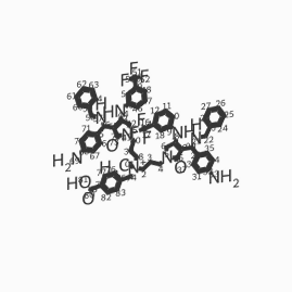 C[N+](CCCN1CC(Nc2cccc(C(F)(F)F)c2)=C([C@H](NCc2ccccc2)c2ccc(N)cc2)C1=O)(CCCN1CC(Nc2cccc(C(F)(F)F)c2)=C([C@H](NCc2ccccc2)c2ccc(N)cc2)C1=O)Cc1ccc(C(=O)O)cc1